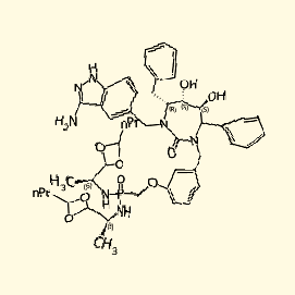 CCCC1OC([C@H](C)NP(=O)(COc2cccc(CN3C(=O)N(Cc4ccc5[nH]nc(N)c5c4)[C@H](Cc4ccccc4)[C@H](O)[C@@H](O)C3c3ccccc3)c2)N[C@@H](C)C2OC(CCC)O2)O1